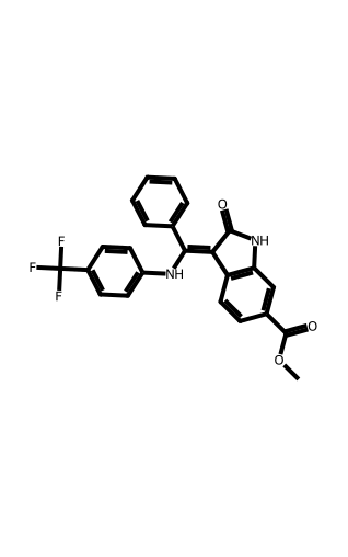 COC(=O)c1ccc2c(c1)NC(=O)C2=C(Nc1ccc(C(F)(F)F)cc1)c1ccccc1